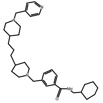 O=C(NCC1CCCCC1)c1cccc(CN2CCC(CCCC3CCN(Cc4ccncc4)CC3)CC2)c1